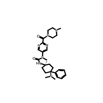 CN1CCN(C(=O)c2ncc(N3C[C@]4(CC[C@](c5ccccc5)(N(C)C)CC4)NC3=O)cn2)CC1